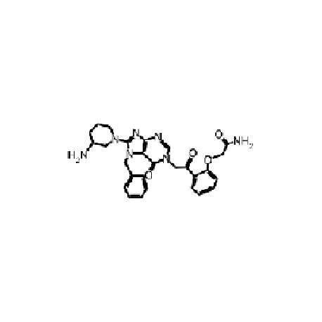 NC(=O)COc1ccccc1C(=O)Cn1cnc2nc(N3CCCC(N)C3)n(Cc3ccccc3)c2c1=O